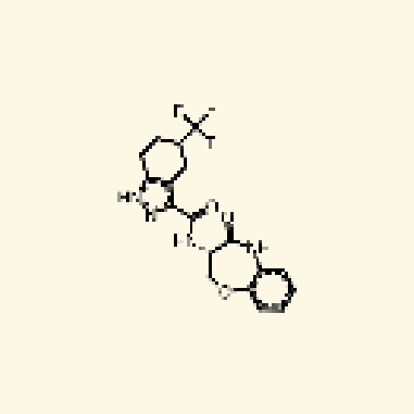 O=C(N[C@H]1COc2ccccc2NC1=O)c1n[nH]c2c1CC(C(F)(F)F)CC2